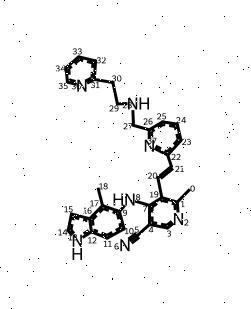 Cc1ncc(C#N)c(Nc2ccc3[nH]ccc3c2C)c1C=Cc1cccc(CNCCc2ccccn2)n1